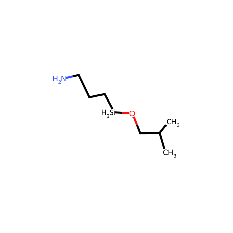 CC(C)CO[SiH2]CCCN